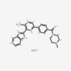 CN1CCN(C(=O)c2ccc(-c3cnc(N)c(-c4nc5cnccc5o4)n3)cc2)CC1.Cl